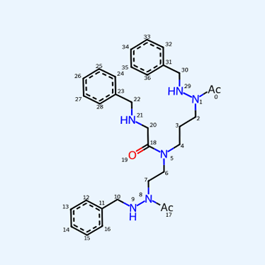 CC(=O)N(CCCN(CCN(NCc1ccccc1)C(C)=O)C(=O)CNCc1ccccc1)NCc1ccccc1